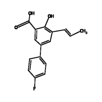 CC=Cc1cc(-c2ccc(F)cc2)cc(C(=O)O)c1O